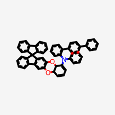 C1=CC2Oc3cc4c(cc3OC2C(N(c2ccccc2)c2ccccc2-c2ccc(-c3ccccc3)cc2)=C1)C1(c2ccccc2-c2ccccc21)c1ccccc1-4